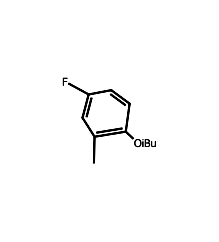 Cc1cc(F)ccc1OCC(C)C